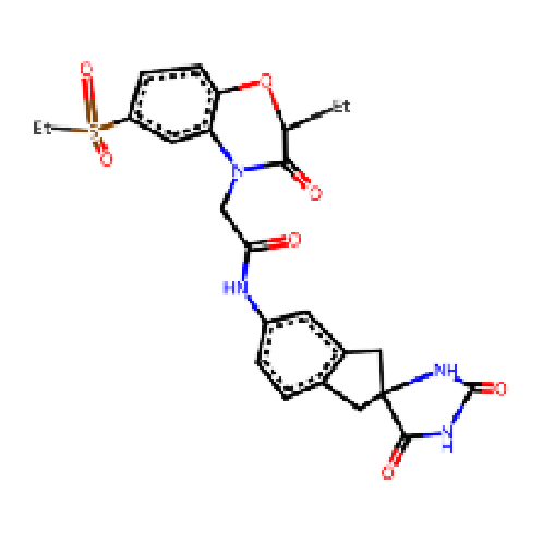 CCC1Oc2ccc(S(=O)(=O)CC)cc2N(CC(=O)Nc2ccc3c(c2)CC2(C3)NC(=O)NC2=O)C1=O